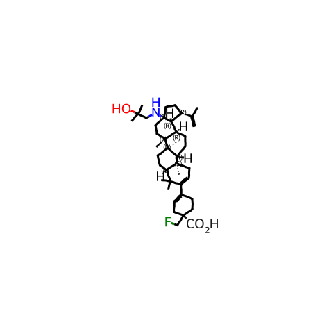 C=C(C)[C@@H]1CC[C@]2(NCC(C)(C)O)CC[C@]3(C)[C@H](CC[C@@H]4[C@@]5(C)CC=C(C6=CCC(CF)(C(=O)O)CC6)C(C)(C)[C@@H]5CC[C@]43C)[C@@H]12